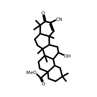 COC(=O)C12CCC(C)(C)CC1C1C(O)CC3C4(C)C=C(C#N)C(=O)C(C)(C)C4CCC3(C)C1(C)CC2